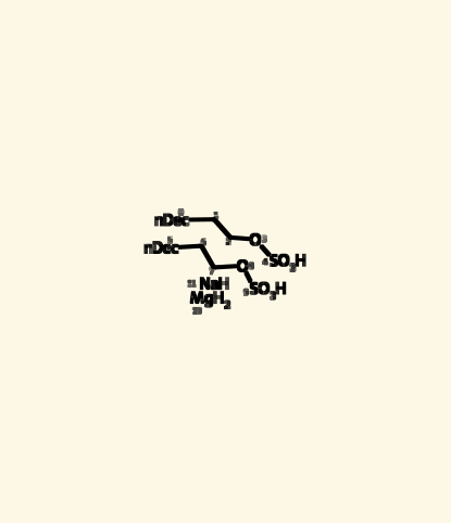 CCCCCCCCCCCCOS(=O)(=O)O.CCCCCCCCCCCCOS(=O)(=O)O.[MgH2].[NaH]